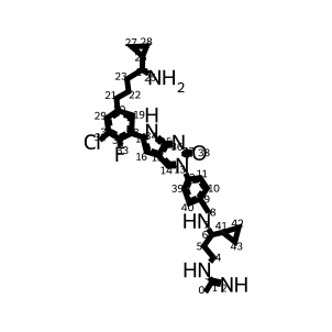 CC(=N)NCCC(NCc1ccc(-n2cc3cc(-c4cc(CCCC(N)C5CC5)cc(Cl)c4F)[nH]c3nc2=O)cc1)C1CC1